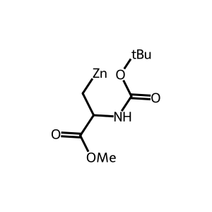 COC(=O)C([CH2][Zn])NC(=O)OC(C)(C)C